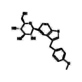 COc1ccc(Cc2csc3ccc([C@@H]4O[C@H](CO)[C@@H](O)[C@H](O)[C@H]4O)cc23)cc1